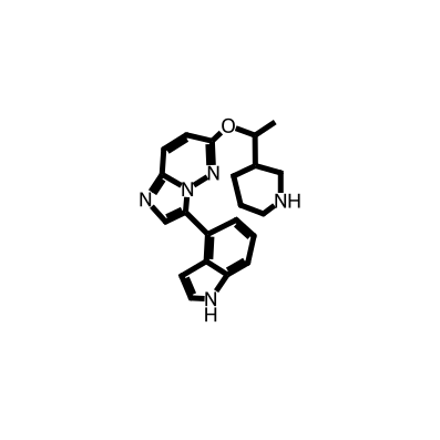 CC(Oc1ccc2ncc(-c3cccc4[nH]ccc34)n2n1)C1CCCNC1